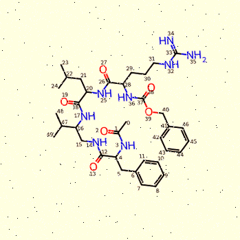 CC(=O)NC(Cc1ccccc1)C(=O)NCC(NC(=O)C(CC(C)C)NC(=O)C(CCCNC(=N)N)NC(=O)OCc1ccccc1)C(C)C